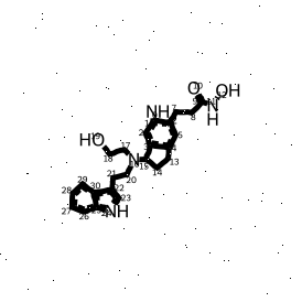 Nc1cc2c(cc1CCC(=O)NO)CCC2N(CCO)CCc1c[nH]c2ccccc12